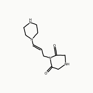 O=C1CNCC(=O)N1CC=CN1CCNCC1